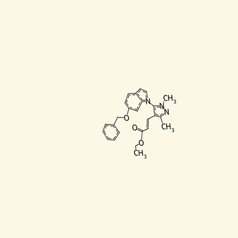 CCOC(=O)/C=C/c1c(C)nn(C)c1-n1ccc2ccc(OCc3ccccc3)cc21